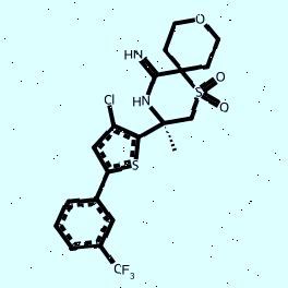 C[C@@]1(c2sc(-c3cccc(C(F)(F)F)c3)cc2Cl)CS(=O)(=O)C2(CCOCC2)C(=N)N1